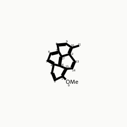 COc1ccc2ccc3ccc(C)c4ccc1c2c34